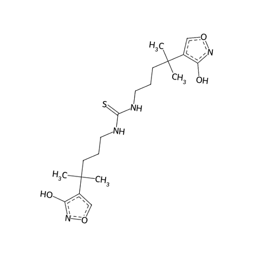 CC(C)(CCCNC(=S)NCCCC(C)(C)c1conc1O)c1conc1O